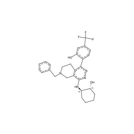 Oc1cc(C(F)(F)F)ccc1-c1nnc(N[C@@H]2CCCC[C@H]2O)c2c1CCN(Cc1ccccc1)C2